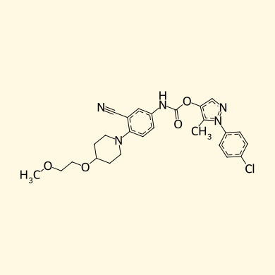 COCCOC1CCN(c2ccc(NC(=O)Oc3cnn(-c4ccc(Cl)cc4)c3C)cc2C#N)CC1